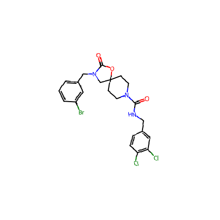 O=C(NCc1ccc(Cl)c(Cl)c1)N1CCC2(CC1)CN(Cc1cccc(Br)c1)C(=O)O2